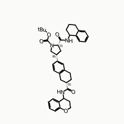 CC(C)(C)OC(=O)N1C[C@@H](c2ccc3c(c2)CC[C@H](C(=O)NC2CCOc4ccccc42)C3)C[C@H]1C(=O)NC1CCCc2ccccc21